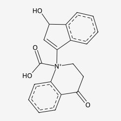 O=C1CC[N+](C(=O)O)(C2=CC(O)c3ccccc32)c2ccccc21